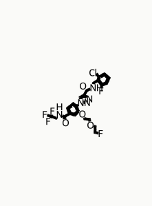 O=C(NCC(F)(F)F)c1ccc(-n2cc(C(=O)NCc3c(F)cccc3Cl)nn2)c(OCCOCCF)c1